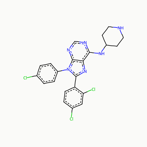 Clc1ccc(-n2c(-c3ccc(Cl)cc3Cl)nc3c(NC4CCNCC4)ncnc32)cc1